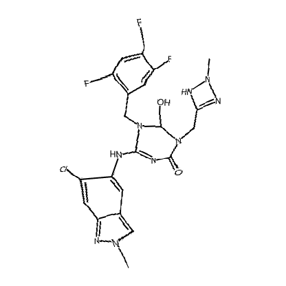 Cn1cc2cc(NC3=NC(=O)N(Cc4nn(C)[nH]4)C(O)N3Cc3cc(F)c(F)cc3F)c(Cl)cc2n1